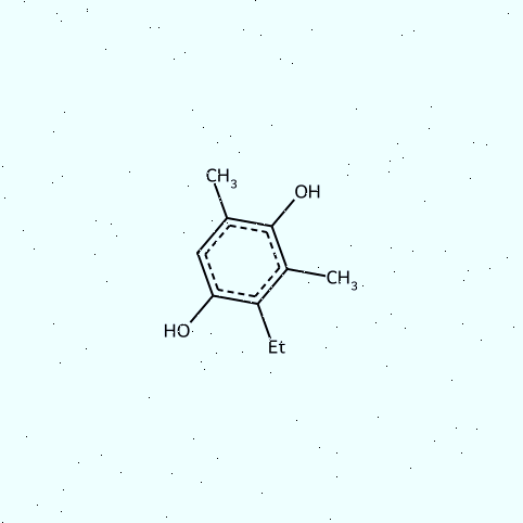 CCc1c(O)cc(C)c(O)c1C